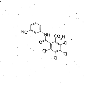 N#Cc1cccc(NC(=O)c2c(Cl)c(Cl)c(Cl)c(Cl)c2C(=O)O)c1